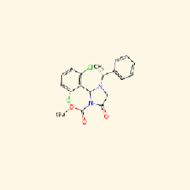 C[C@H](c1ccccc1)N1CC(=O)N(C(=O)OC(C)(C)C)C1c1c(Cl)cccc1Cl